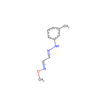 CO/N=C/C=N/Nc1cccc(C)c1